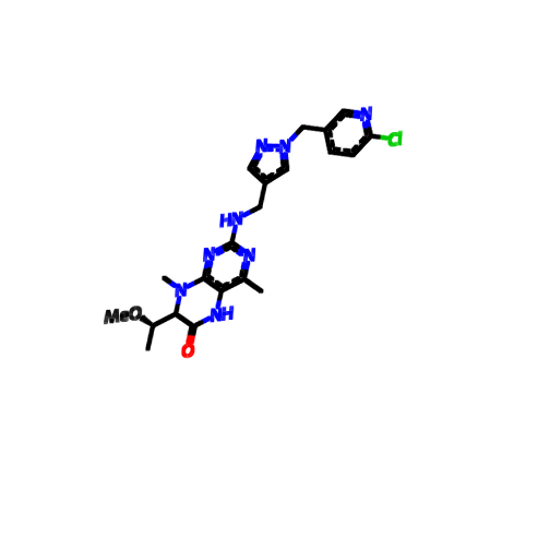 CO[C@H](C)C1C(=O)Nc2c(C)nc(NCc3cnn(Cc4ccc(Cl)nc4)c3)nc2N1C